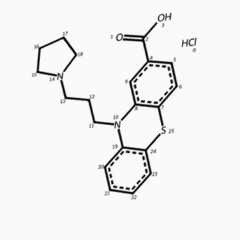 Cl.O=C(O)c1ccc2c(c1)N(CCCN1CCCC1)c1ccccc1S2